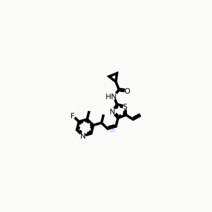 C=Cc1sc(NC(=O)C2CC2)nc1/C=C\C(C)c1cncc(F)c1C